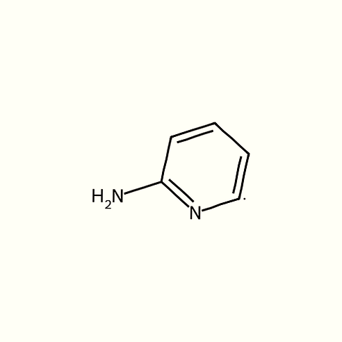 Nc1ccc[c]n1